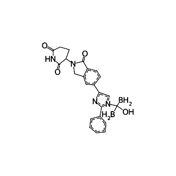 BC(B)(O)n1cc(-c2ccc3c(c2)CN(C2CCC(=O)NC2=O)C3=O)nc1-c1ccccc1